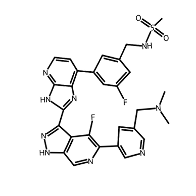 CN(C)Cc1cncc(-c2ncc3[nH]nc(-c4nc5c(-c6cc(F)cc(CNS(C)(=O)=O)c6)ccnc5[nH]4)c3c2F)c1